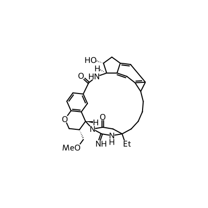 CCC12CCCCC3c4cc5c(cc43)[C@@H](NC(=O)c3ccc4c(c3)[C@@H]([C@H](COC)CO4)N(C(=N)N1)C(=O)C2)[C@H](O)C5